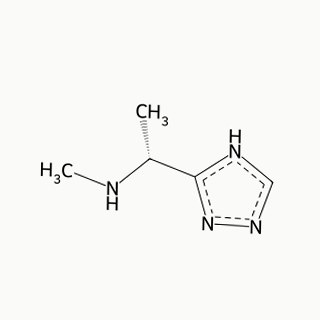 CN[C@H](C)c1nnc[nH]1